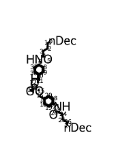 CCCCCCCCCCCCCC(=O)Nc1ccc(CO[PH](=O)OCc2ccc(NC(=O)CCCCCCCCCCCCC)cc2)cc1